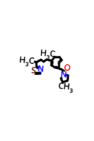 CC1C/C=C/C(C(=O)N2CC[C@H](C)C2)=C\C=C/1CCCC(C)c1nccs1